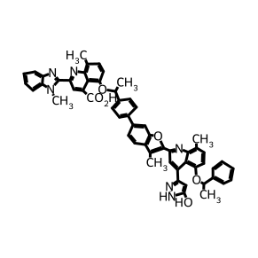 Cc1c(-c2cc(-c3cc(O)[nH]n3)c3c(OC(C)c4ccccc4)ccc(C)c3n2)oc2cc(-c3ccc(C(C)Oc4ccc(C)c5nc(-c6nc7ccccc7n6C)cc(C(=O)O)c45)cc3)ccc12